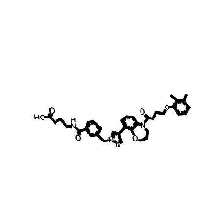 Cc1cccc(OCCCC(=O)N2CCCOc3c(-c4cnn(Cc5cccc(C(=O)NCCCC(=O)O)c5)c4)cccc32)c1C